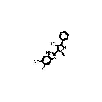 Cn1nc(-c2ccccc2)c(O)c1-c1nc2cc(Cl)c(C#N)cc2[nH]1